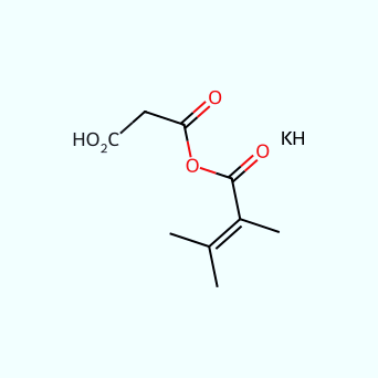 CC(C)=C(C)C(=O)OC(=O)CC(=O)O.[KH]